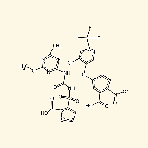 COc1nc(C)nc(NC(=O)NS(=O)(=O)c2ccsc2C(=O)O)n1.O=C(O)c1cc(Oc2ccc(C(F)(F)F)cc2Cl)ccc1[N+](=O)[O-]